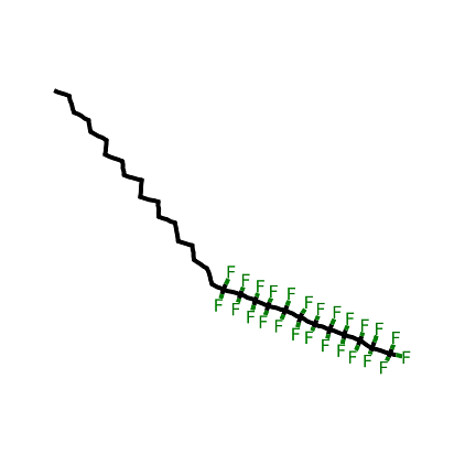 CCCCCCCCCCCCCCCCCCCC(F)(F)C(F)(F)C(F)(F)C(F)(F)C(F)(F)C(F)(F)C(F)(F)C(F)(F)C(F)(F)C(F)(F)C(F)(F)C(F)(F)F